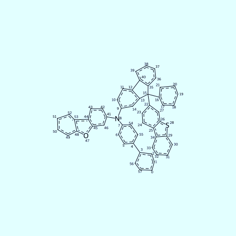 c1ccc(-c2ccc(N(c3ccc4c(c3)C(c3ccccc3)(c3ccc5c(c3)sc3ccccc35)c3ccccc3-4)c3ccc4c(c3)oc3ccccc34)cc2)cc1